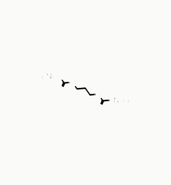 CCCCCCCCCC(=O)O[CH]CCOC(=O)CCCCCCCCC